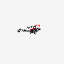 CC(=O)Oc1cc(O)c2c3c1O[C@H]1[C@H](N(C)C(=O)CCCCCCCCCCc4ccccc4)CC[C@H]4[C@@H](C2)N(CC2CC2)CC[C@@]341